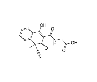 CC1(C#N)C(=O)C(C(=O)NCC(=O)O)=C(O)c2ccccc21